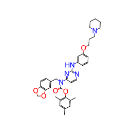 Cc1cc(C)c(OC(=O)N(Cc2ccc3c(c2)OCO3)c2ccnc(Nc3cccc(OCCCN4CCCCC4)c3)n2)c(C)c1